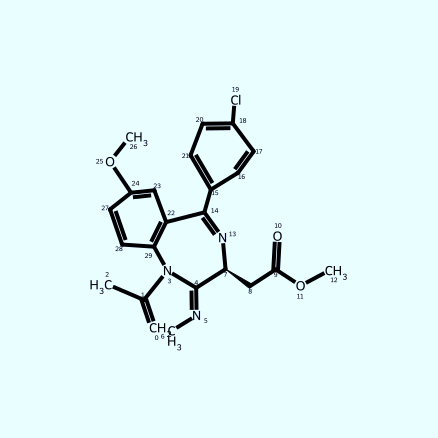 C=C(C)N1/C(=N\C)[C@H](CC(=O)OC)N=C(c2ccc(Cl)cc2)c2cc(OC)ccc21